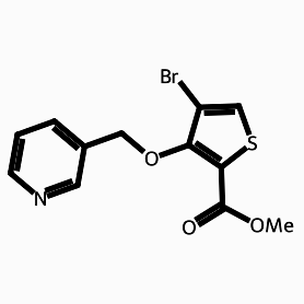 COC(=O)c1scc(Br)c1OCc1cccnc1